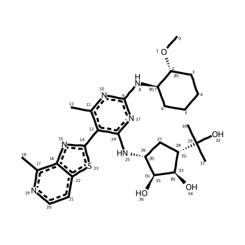 CO[C@@H]1CCCC[C@H]1Nc1nc(C)c(-c2nc3c(C)nccc3s2)c(N[C@@H]2C[C@H](C(C)(C)O)[C@@H](O)[C@H]2O)n1